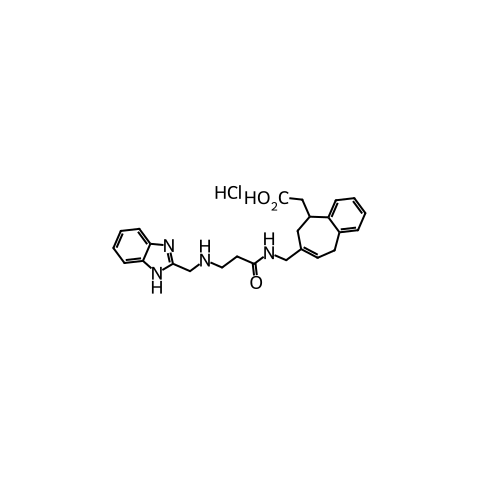 Cl.O=C(O)CC1CC(CNC(=O)CCNCc2nc3ccccc3[nH]2)=CCc2ccccc21